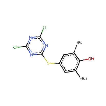 CC(C)(C)c1cc(Sc2nc(Cl)nc(Cl)n2)cc(C(C)(C)C)c1O